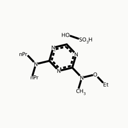 CCCN(CCC)c1ncnc(N(C)OCC)n1.O=S(=O)(O)O